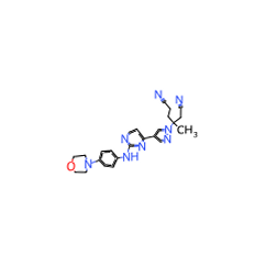 CC(CC#N)(CCC#N)n1cc(-c2ccnc(Nc3ccc(N4CCOCC4)cc3)n2)cn1